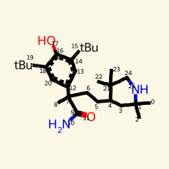 CC1(C)CC(CCC(C)(C(N)=O)c2cc(C(C)(C)C)c(O)c(C(C)(C)C)c2)C(C)(C)CN1